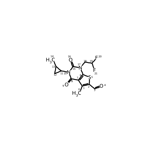 Cc1c(C=O)sc2c1c(=O)n(C1CC1C)c(=O)n2CC(F)F